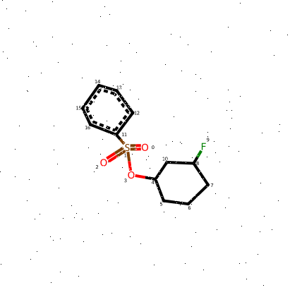 O=S(=O)(OC1CCCC(F)C1)c1ccccc1